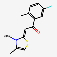 CCCCN1C(C)=CSC1=CC(=O)c1cc(F)ccc1C